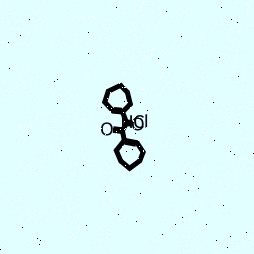 Cl.O=C(C(=O)C1=CCCCCC1)C1=CCCCCC1